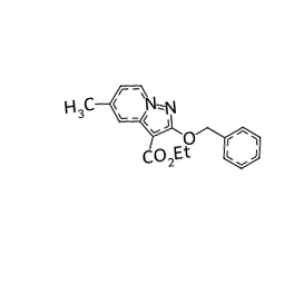 CCOC(=O)c1c(OCc2ccccc2)nn2ccc(C)cc12